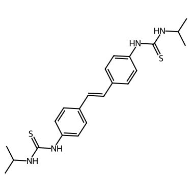 CC(C)NC(=S)Nc1ccc(C=Cc2ccc(NC(=S)NC(C)C)cc2)cc1